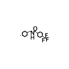 O=C(NCc1cc[c]cc1)c1ccc(C(F)(F)F)cc1